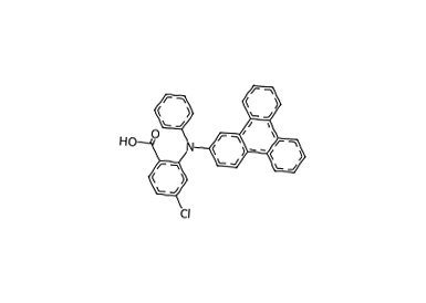 O=C(O)c1ccc(Cl)cc1N(c1ccccc1)c1ccc2c3ccccc3c3ccccc3c2c1